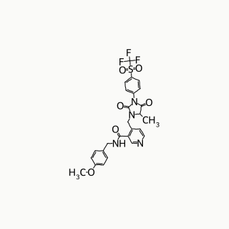 COc1ccc(CNC(=O)c2cnccc2CN2C(=O)N(c3ccc(S(=O)(=O)C(F)(F)F)cc3)C(=O)C2C)cc1